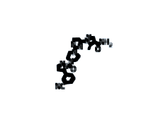 C[C@@H]1C(C(N)=O)C=NN1c1ccnc(N2CCN(C(=O)N3N=CCC3c3cccc(C#N)c3)CC2)n1